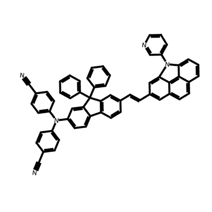 N#Cc1ccc(N(c2ccc(C#N)cc2)c2ccc3c(c2)C(c2ccccc2)(c2ccccc2)c2cc(/C=C/c4cc5ccc6cccc7c6c5c(c4)n7-c4cccnc4)ccc2-3)cc1